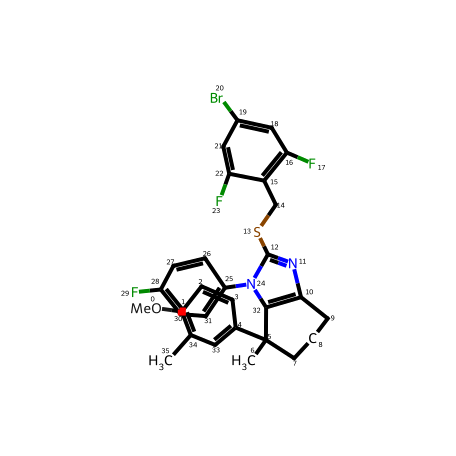 COc1ccc(C2(C)CCCc3nc(SCc4c(F)cc(Br)cc4F)n(-c4ccc(F)cc4)c32)cc1C